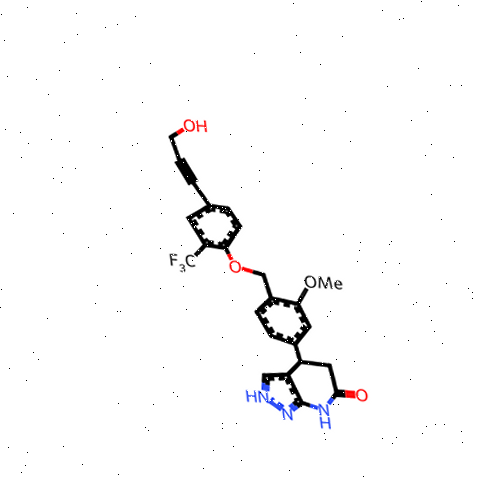 COc1cc(C2CC(=O)Nc3n[nH]cc32)ccc1COc1ccc(C#CCO)cc1C(F)(F)F